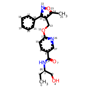 CC[C@H](CO)NC(=O)c1ccc(OCc2c(-c3ccccc3)noc2C)nc1